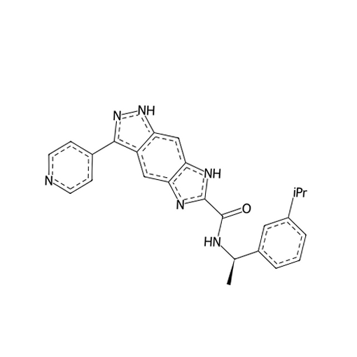 CC(C)c1cccc([C@@H](C)NC(=O)c2nc3cc4c(-c5ccncc5)n[nH]c4cc3[nH]2)c1